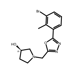 Cc1c(Br)cccc1-c1nnc(CN2CC[C@@H](O)C2)o1